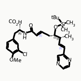 COc1ccc(C[C@@H](NC(=O)/C=C/C[C@H](O[Si](C)(C)C(C)(C)C)[C@H](C)/C=C/c2cnccn2)C(=O)O)cc1Cl